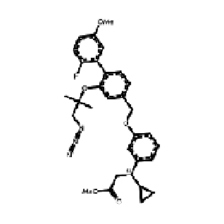 COC(=O)C[C@@H](c1cccc(OCc2ccc(-c3cc(OC)ccc3F)c(OC(C)(C)CN=[N+]=[N-])c2)c1)C1CC1